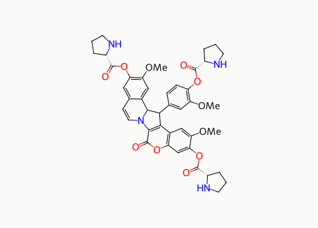 COc1cc(C2c3c(c(=O)oc4cc(OC(=O)[C@@H]5CCCN5)c(OC)cc34)N3C=Cc4cc(OC(=O)[C@@H]5CCCN5)c(OC)cc4C23)ccc1OC(=O)[C@@H]1CCCN1